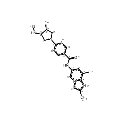 CCN[C@@H]1CN(c2ncc(C(=O)Nc3cc(F)c4nc(C)cn4c3)cn2)C[C@@H]1F